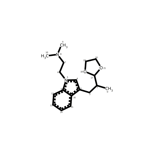 CC(Cc1cn(CCN(C)C)c2ccccc12)C1OCCO1